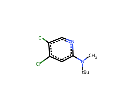 CN(c1cc(Cl)c(Cl)cn1)C(C)(C)C